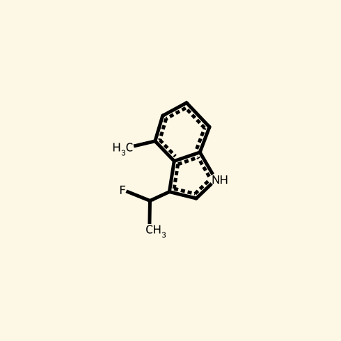 C[C](F)c1c[nH]c2cccc(C)c12